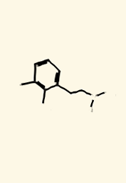 Cc1c(O)cccc1CCN(C)N